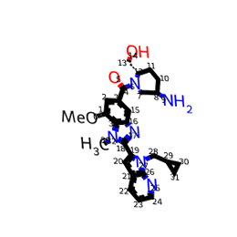 COc1cc(C(=O)N2CC(N)CC[C@H]2CO)cc2nc(-c3cc4cccnc4n3CC3CC3)n(C)c12